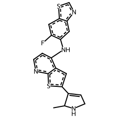 CC1NCC=C1c1cc2c(Nc3cc4ncsc4cc3F)ccnc2s1